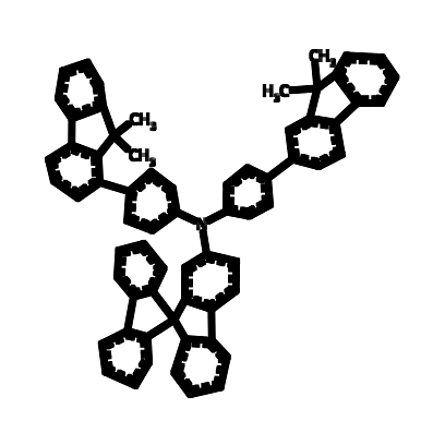 CC1(C)c2ccccc2-c2ccc(-c3ccc(N(c4ccc(-c5cccc6c5C(C)(C)c5ccccc5-6)cc4)c4ccc5c(c4)C4(c6ccccc6-c6ccccc64)c4ccccc4-5)cc3)cc21